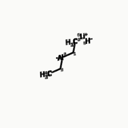 C[CH2][Al][CH2]C.[H-].[Li+]